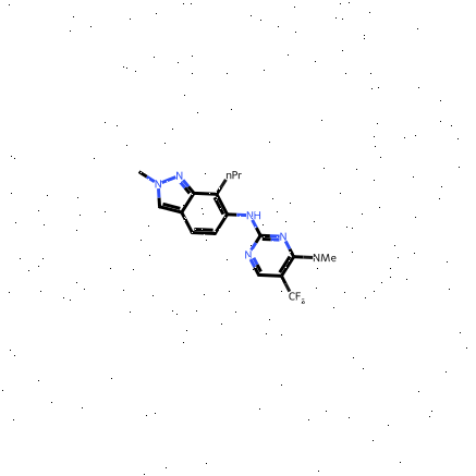 CCCc1c(Nc2ncc(C(F)(F)F)c(NC)n2)ccc2cn(C)nc12